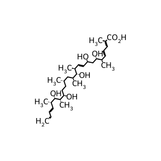 C=CC=C[C@H](C)[C@H](O)[C@@H](C)[C@H](O)CC[C@H](C)C[C@H](C)[C@@H](O)[C@@H](C)C=C[C@@H](O)C[C@H](O)[C@H](C)C=CC=C(C)C(=O)O